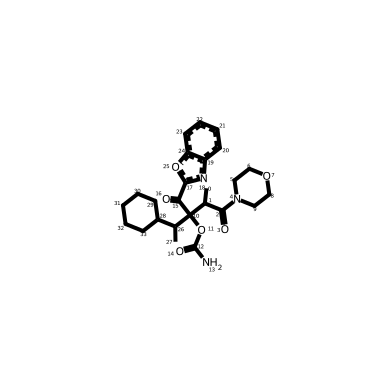 CC(C(=O)N1CCOCC1)C(OC(N)=O)(C(=O)c1nc2ccccc2o1)C(C)C1CCCCC1